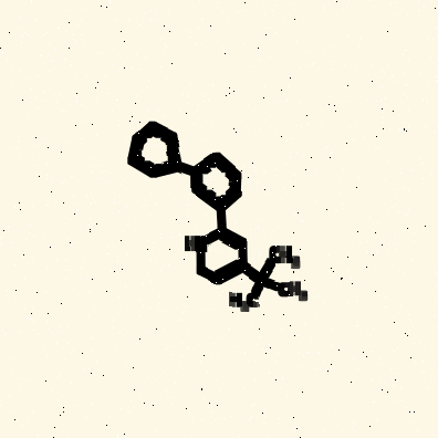 CC(C)(C)C1=CCNC(c2cccc(-c3ccccc3)c2)=C1